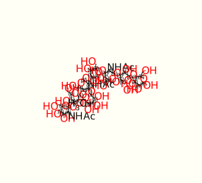 CC(=O)N[C@H]1[C@H](O[C@H]2[C@@H](O)[C@@H](CO)O[C@@H](O[C@H]3[C@H](O)[C@@H](O)[C@H](O)O[C@@H]3CO)[C@@H]2O)O[C@H](CO)[C@@H](O[C@@H]2O[C@H](CO)[C@H](O)[C@H](O[C@@H]3O[C@H](CO)[C@@H](O[C@@H]4O[C@H](CO)[C@H](O)[C@H](O[C@@H]5O[C@H](CO)[C@@H](O)[C@H](O)[C@H]5NC(C)=O)[C@H]4O)[C@H](O[C@@H]4O[C@@H](C)[C@@H](O)[C@@H](O)[C@@H]4O)[C@H]3NC(C)=O)[C@H]2O)[C@@H]1O